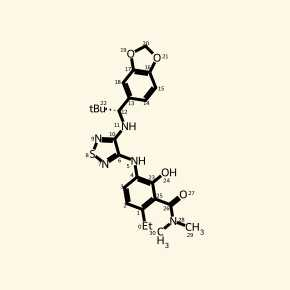 CCc1ccc(Nc2nsnc2N[C@@H](c2ccc3c(c2)OCO3)C(C)(C)C)c(O)c1C(=O)N(C)C